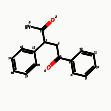 CC(C)C(=O)C(CC(=O)c1ccccc1)c1ccccc1